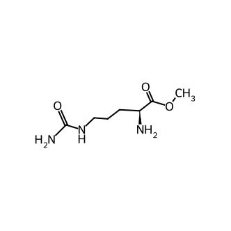 COC(=O)[C@@H](N)CCCNC(N)=O